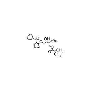 C=C(C)C(=O)OCC(C(O)COc1ccccc1C(=O)c1ccccc1)C(C)(C)C